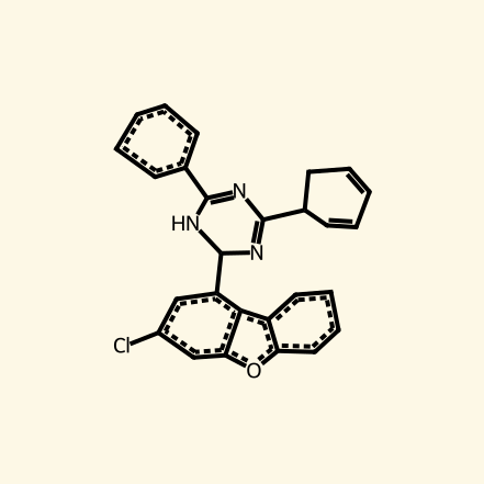 Clc1cc(C2N=C(C3C=CC=CC3)N=C(c3ccccc3)N2)c2c(c1)oc1ccccc12